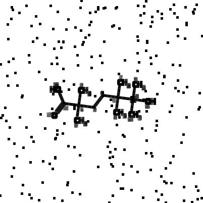 CC(C)(CCC(C)(C)[Si](C)(C)O)C(=O)O